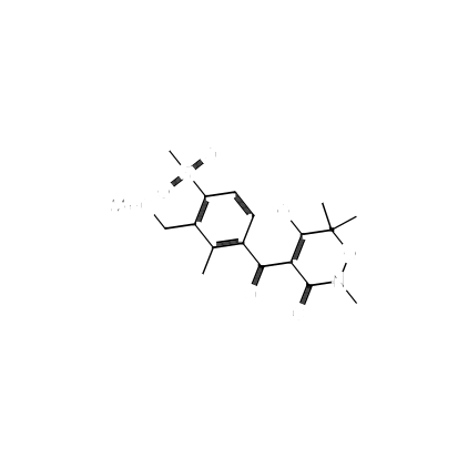 COCc1c(S(C)(=O)=O)ccc(C(=O)C2=C(O)C(C)(C)ON(C)C2=O)c1C